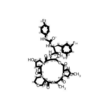 CCc1ccc(NC(=O)N[C@@H](Cc2cc(F)cc(F)c2)C(=O)N[C@@H]2C(=O)N3C[C@H](O)C[C@H]3C(=O)N3CCOC[C@H]3C(=O)N[C@@H](C)C(=O)N3C[C@H](C)C[C@H]3C(=O)O[C@H]2C)cc1